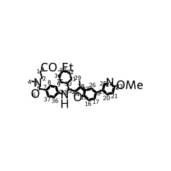 CCOC(=O)CCN(C)C(=O)c1ccc(NC(c2oc3ccc(-c4ccc(OC)nc4)cc3c2C)C2CCCCC2)cc1